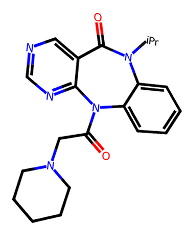 CC(C)N1C(=O)c2cncnc2N(C(=O)CN2CCCCC2)c2ccccc21